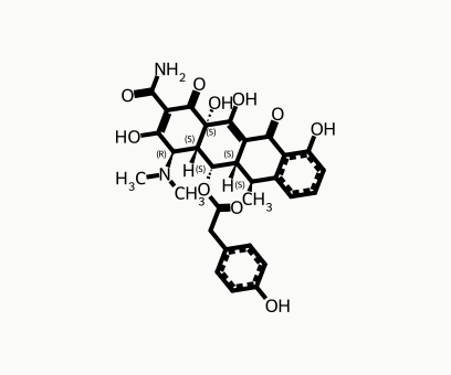 C[C@@H]1c2cccc(O)c2C(=O)C2=C(O)[C@]3(O)C(=O)C(C(N)=O)=C(O)[C@H](N(C)C)[C@H]3[C@@H](OC(=O)Cc3ccc(O)cc3)[C@H]21